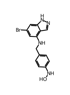 ONc1ccc(CNc2cc(Br)cc3[nH]ncc23)cc1